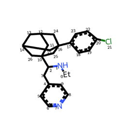 CCNC(Cc1ccncc1)C12CC3CC(CC(c4ccc(Cl)cc4)(C3)C1)C2